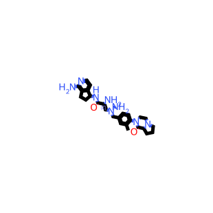 Cc1cc(CN(N)/C=C(\N)C(=O)NC2CCc3c2ccnc3N)ccc1N1CCN2CCCC2C1=O